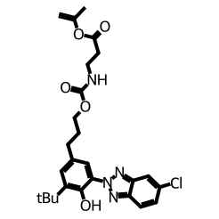 C=C(C)OC(=O)CCNC(=O)OCCCc1cc(-n2nc3ccc(Cl)cc3n2)c(O)c(C(C)(C)C)c1